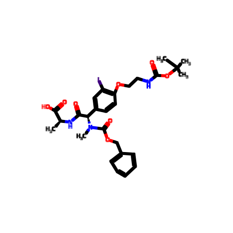 C[C@H](NC(=O)[C@H](c1ccc(OCCNC(=O)OC(C)(C)C)c(I)c1)N(C)C(=O)OCc1ccccc1)C(=O)O